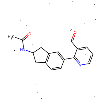 CC(=O)NC1Cc2ccc(-c3ncccc3C=O)cc2C1